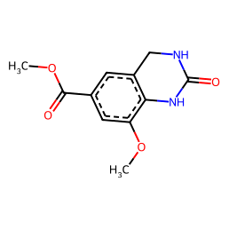 COC(=O)c1cc2c(c(OC)c1)NC(=O)NC2